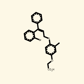 Cc1cc(OCC(=O)O)ccc1SCC=C(c1ccccc1)c1ccccc1Br